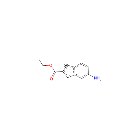 CCOC(=O)c1cc2cc(N)ccc2[se]1